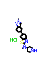 CN(c1nc2ccc(-c3ccc4nn(C)cc4c3)cc2s1)C1CCNCC1.Cl